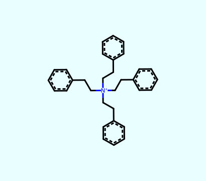 c1ccc(CC[N+](CCc2ccccc2)(CCc2ccccc2)CCc2ccccc2)cc1